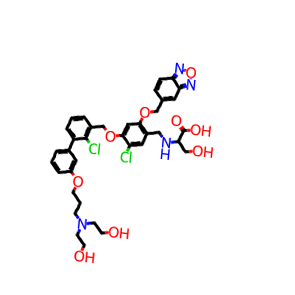 O=C(O)C(CO)NCc1cc(Cl)c(OCc2cccc(-c3cccc(OCCCN(CCO)CCO)c3)c2Cl)cc1OCc1ccc2nonc2c1